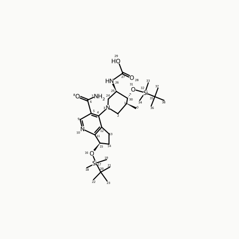 C[C@H]1CN(c2c(C(N)=O)cnc3c2CC[C@H]3O[Si](C)(C)C(C)(C)C)C[C@@H](NC(=O)O)[C@@H]1O[Si](C)(C)C(C)(C)C